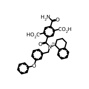 NC(=O)c1cc(C(=O)O)c(C(=O)N(Cc2cccc(Oc3ccccc3)c2)[C@H]2CCCc3ccccc32)cc1C(=O)O